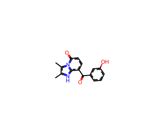 Cc1[nH]c2c(C(=O)c3cccc(O)c3)ccc(=O)n2c1C